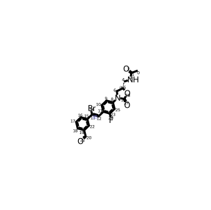 CC(=O)NC[C@H]1CN(c2ccc(/C=C(\Br)c3cccc(C=O)c3)c(F)c2)C(=O)O1